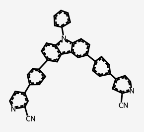 N#Cc1cc(-c2ccc(-c3ccc4c(c3)c3cc(-c5ccc(-c6ccnc(C#N)c6)cc5)ccc3n4-c3ccccc3)cc2)ccn1